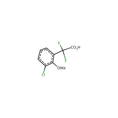 COc1c(Cl)cccc1C(F)(F)C(=O)O